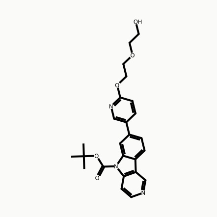 CC(C)(C)OC(=O)n1c2ccncc2c2ccc(-c3ccc(OCCOCCO)nc3)cc21